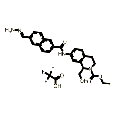 CCOC(=O)N1CCc2ccc(NC(=O)c3ccc4cc(C=NN)ccc4c3)cc2C1CO.O=C(O)C(F)(F)F